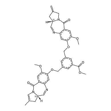 C=C1C[C@H]2C=Nc3cc(OCc4cc(COc5cc6c(cc5OC)C(=O)N5C=C(C)C[C@H]5C=N6)cc(C(=O)OC)c4)c(OC)cc3C(=O)N2C1